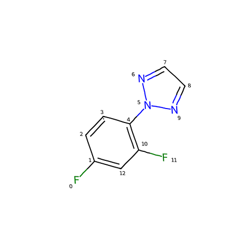 Fc1c[c]c(-n2nccn2)c(F)c1